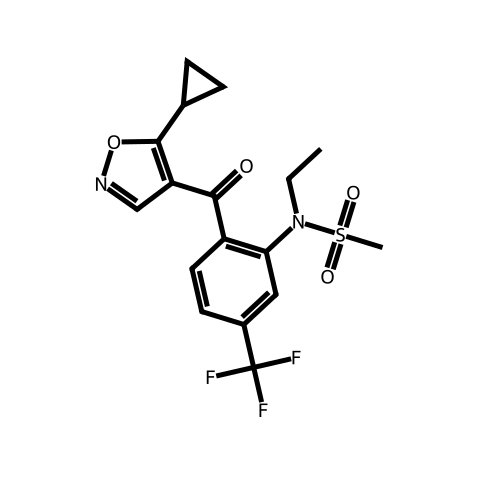 CCN(c1cc(C(F)(F)F)ccc1C(=O)c1cnoc1C1CC1)S(C)(=O)=O